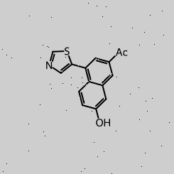 CC(=O)c1cc(-c2cncs2)c2ccc(O)cc2c1